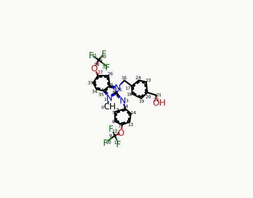 Cn1/c(=N\c2ccc(OC(F)(F)F)cc2)n(Cc2ccc(CO)cc2)c2cc(OC(F)(F)F)ccc21